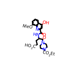 CCOC(=O)N1CCN(C(=O)C(CCC(=O)O)NC(=O)c2cc(O)c3cccc(OC)c3n2)CC1